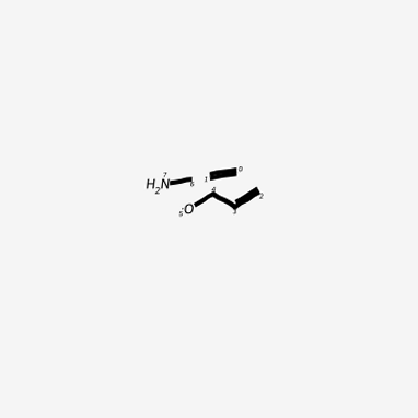 C=C.C=CC[O].CN